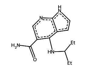 CCC(CC)Nc1c(C(N)=O)cnc2[nH]ccc12